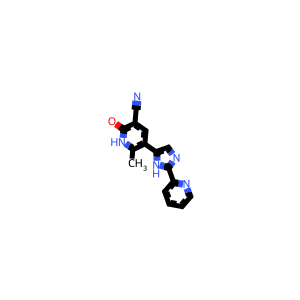 Cc1[nH]c(=O)c(C#N)cc1-c1cnc(-c2ccccn2)[nH]1